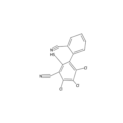 N#Cc1ccccc1-c1c(S)c(C#N)c(Cl)c(Cl)c1Cl